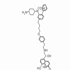 NC1CCC(N(C(=O)O)c2cc(CCCCOc3ccc(CCNC[C@H](O)c4ccc(O)c5[nH]c(=O)ccc45)cc3)ccc2-c2ccccc2)CC1